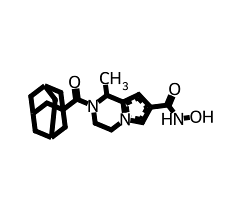 CC1c2cc(C(=O)NO)cn2CCN1C(=O)C12CC3CC(CC(C3)C1)C2